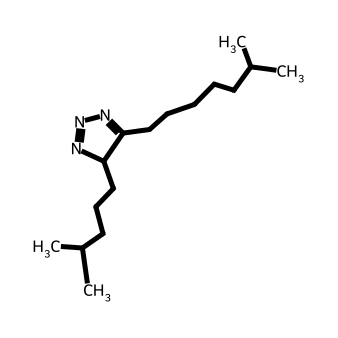 CC(C)CCCCCC1=NN=NC1CCCC(C)C